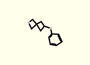 c1ccc(OC2CC3(COC3)C2)cc1